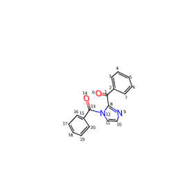 O=C(c1ccccc1)c1nccn1C(=O)c1ccccc1